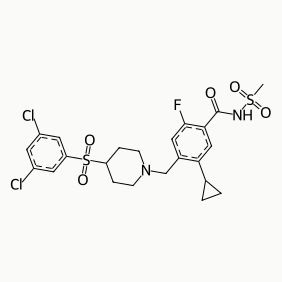 CS(=O)(=O)NC(=O)c1cc(C2CC2)c(CN2CCC(S(=O)(=O)c3cc(Cl)cc(Cl)c3)CC2)cc1F